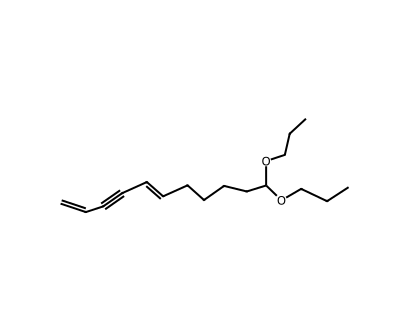 C=CC#C/C=C/CCCCC(OCCC)OCCC